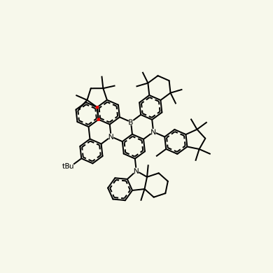 Cc1cc2c(cc1N1c3cc4c(cc3B3c5cc6c(cc5N(c5ccc(C(C)(C)C)cc5-c5ccccc5)c5cc(N7c8ccccc8C8(C)CCCCC78C)cc1c53)C(C)(C)CC6(C)C)C(C)(C)CCC4(C)C)C(C)(C)CC2(C)C